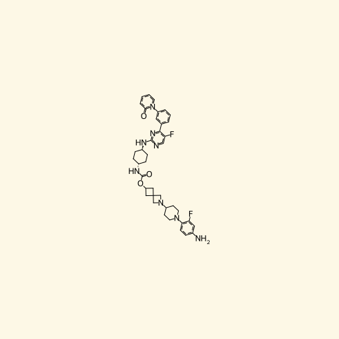 Nc1ccc(N2CCC(N3CC4(CC(OC(=O)N[C@H]5CC[C@H](Nc6ncc(F)c(-c7cccc(-n8ccccc8=O)c7)n6)CC5)C4)C3)CC2)c(F)c1